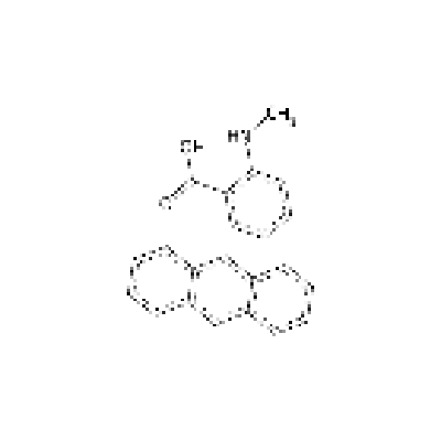 CNc1ccccc1C(=O)O.c1ccc2cc3ccccc3cc2c1